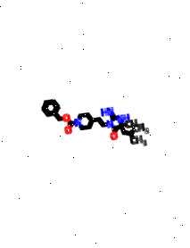 CC(C)CC1(C)NC(=N)N(CCC2CCN(C(=O)OCc3ccccc3)CC2)C1=O